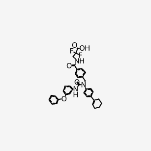 O=C(NCC(F)(F)C(=O)O)c1ccc(CN(C(=O)Nc2cccc(Oc3ccccc3)c2)c2ccc(C3=CCCCC3)cc2)cc1